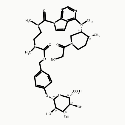 C[C@@H]1CCN(C(=O)CC#N)C[C@@H]1N(C)c1ncnc2c1ccn2C(=O)N(C)CCN(C)C(=O)OCc1ccc(O[C@@H]2O[C@H](C(=O)O)[C@@H](O)[C@H](O)[C@H]2O)cc1